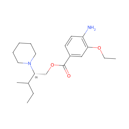 CCOc1cc(C(=O)OC[C@H](C(C)CC)N2CCCCC2)ccc1N